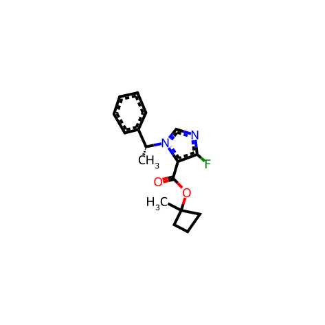 C[C@H](c1ccccc1)n1cnc(F)c1C(=O)OC1(C)CCC1